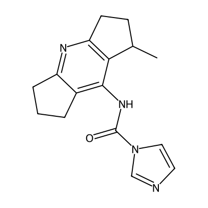 CC1CCc2nc3c(c(NC(=O)n4ccnc4)c21)CCC3